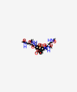 CC(=O)NCCCC[C@H](NC(C)=O)C(=O)N(C)c1ccc2c(c1)P(=O)(O)c1cc(N(C)C(=O)[C@H](CCCCNC(C)=O)NC(C)=O)ccc1C21OC(=O)c2ccccc21